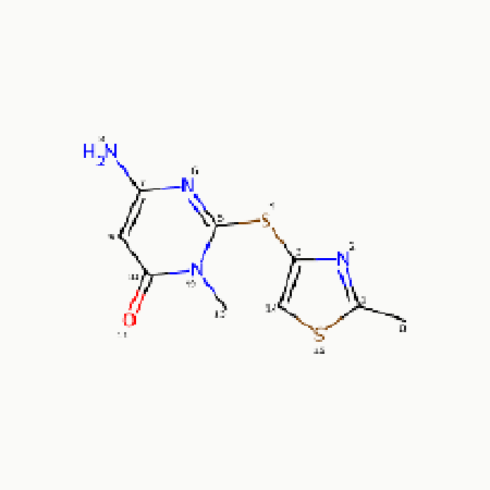 Cc1nc(Sc2nc(N)cc(=O)n2C)cs1